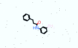 Bc1cccc(NC(=O)CCc2ccccc2)c1